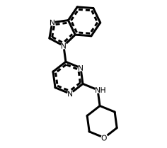 c1ccc2c(c1)ncn2-c1ccnc(NC2CCOCC2)n1